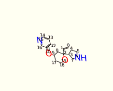 C=CC1(C2CCNC2)CC(Oc2cccnc2)CCO1